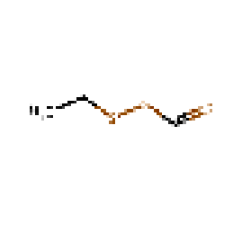 CCSSC=S